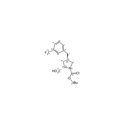 CC(C)(C)OC(=O)N1C[C@H](Cc2cccc(C(F)(F)F)c2)C[C@H]1C(=O)O